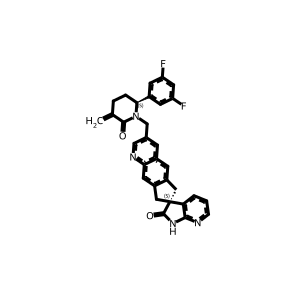 C=C1CC[C@@H](c2cc(F)cc(F)c2)N(Cc2cnc3cc4c(cc3c2)C[C@@]2(C4)C(=O)Nc3ncccc32)C1=O